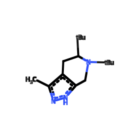 Cc1n[nH]c2c1CC(C(C)(C)C)N(C(C)(C)C)C2